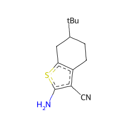 CC(C)(C)C1CCc2c(sc(N)c2C#N)C1